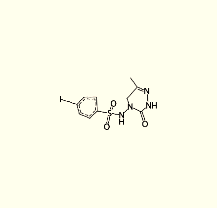 CC1=NNC(=O)N(NS(=O)(=O)c2ccc(I)cc2)C1